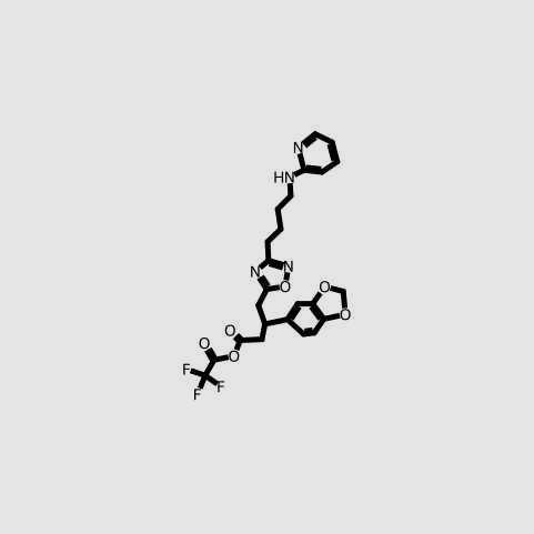 O=C(CC(Cc1nc(CCCCNc2ccccn2)no1)c1ccc2c(c1)OCO2)OC(=O)C(F)(F)F